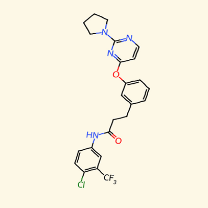 O=C(CCc1cccc(Oc2ccnc(N3CCCC3)n2)c1)Nc1ccc(Cl)c(C(F)(F)F)c1